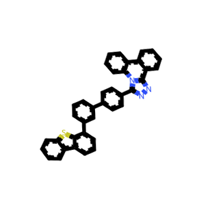 c1cc(-c2ccc(-c3nnc4c5ccccc5c5ccccc5n34)cc2)cc(-c2cccc3c2sc2ccccc23)c1